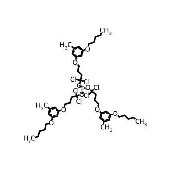 CCCCCOc1cc(C)cc(OCCCC(Cl)(Cl)OP(OC(Cl)(Cl)CCCOc2cc(C)cc(OCCCCC)c2)OC(Cl)(Cl)CCCOc2cc(C)cc(OCCCCC)c2)c1